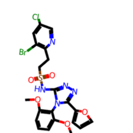 COc1cccc(OC)c1-n1c(NS(=O)(=O)CCc2ncc(Cl)cc2Br)nnc1-c1ccco1